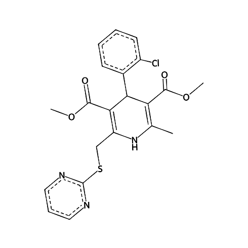 COC(=O)C1=C(C)NC(CSc2ncccn2)=C(C(=O)OC)C1c1ccccc1Cl